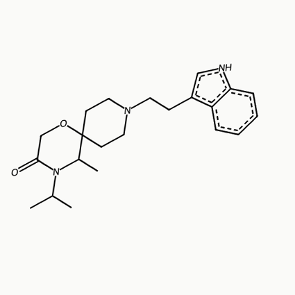 CC(C)N1C(=O)COC2(CCN(CCc3c[nH]c4ccccc34)CC2)C1C